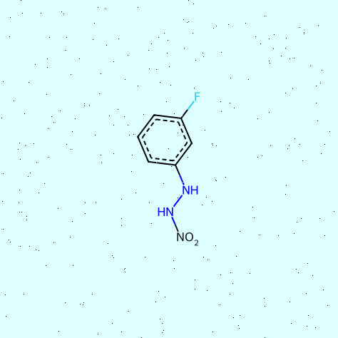 O=[N+]([O-])NNc1cccc(F)c1